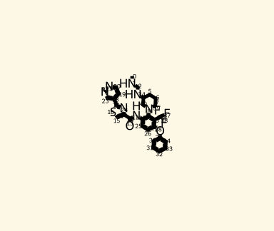 CNCNC1CCCN(c2c(NC(=O)c3csc(-c4ccnnc4)n3)ccc(Oc3ccccc3)c2C(F)(F)F)C1